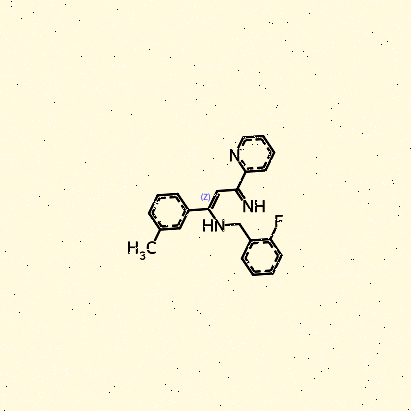 Cc1cccc(/C(=C/C(=N)c2ccccn2)NCc2ccccc2F)c1